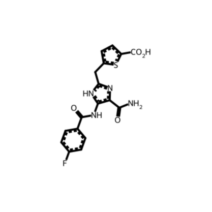 NC(=O)c1nc(Cc2ccc(C(=O)O)s2)[nH]c1NC(=O)c1ccc(F)cc1